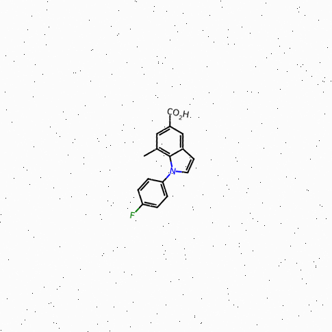 Cc1cc(C(=O)O)cc2ccn(-c3ccc(F)cc3)c12